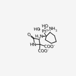 N[C@@H]1CCCC[C@]1(N)[Pt+2]([OH])[OH].O=C1CC(C(=O)[O-])(C(=O)[O-])N1